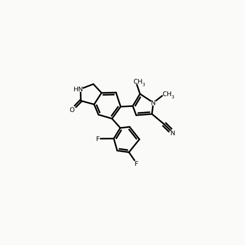 Cc1c(-c2cc3c(cc2-c2ccc(F)cc2F)C(=O)NC3)cc(C#N)n1C